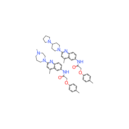 Cc1ccc(OCC(=O)Nc2ccc3nc(N4CCC(N5CCCC5)CC4)cc(C)c3c2)cc1.Cc1ccc(OCC(=O)Nc2ccc3nc(N4CCCN(C)CC4)cc(C)c3c2)cc1